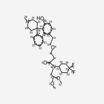 COC(CN(C(=O)CCOCCc1ccc(O)c(C2(c3ccccc3)CCN(C)CC2)c1)C1CCC(F)(F)CC1)OC